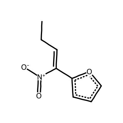 CCC=C(c1ccco1)[N+](=O)[O-]